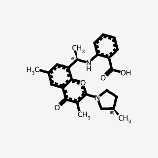 Cc1cc([C@@H](C)Nc2ccccc2C(=O)O)c2oc(N3CC[C@@H](C)C3)c(C)c(=O)c2c1